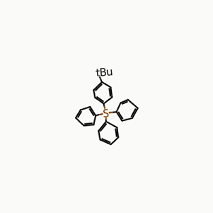 CC(C)(C)c1ccc(S(c2ccccc2)(c2ccccc2)c2ccccc2)cc1